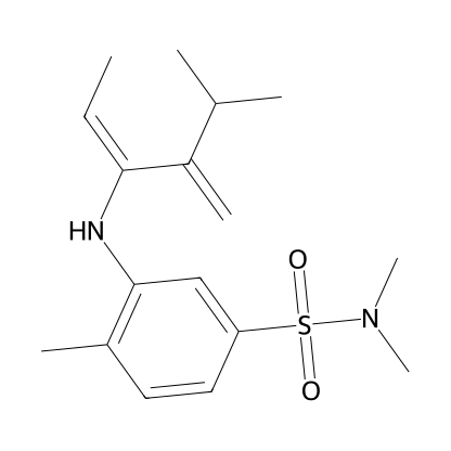 C=C(/C(=C\C)Nc1cc(S(=O)(=O)N(C)C)ccc1C)C(C)C